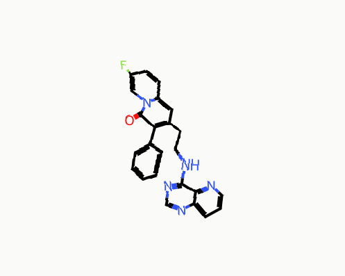 O=c1c(-c2ccccc2)c(CCNc2ncnc3cccnc23)cc2ccc(F)cn12